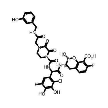 O=C(CN1CCN(C(=O)NC(C(=O)N[C@H]2Cc3ccc(F)c(C(=O)O)c3OB2O)c2cc(F)c(O)c(O)c2Cl)C(=O)C1=O)NCc1cccc(O)c1